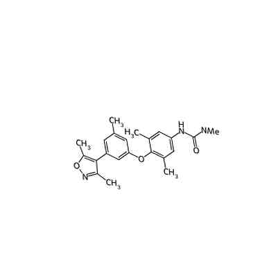 CNC(=O)Nc1cc(C)c(Oc2cc(C)cc(-c3c(C)noc3C)c2)c(C)c1